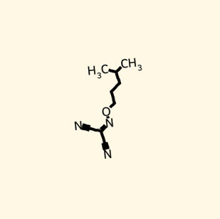 CC(C)CCCON=C(C#N)C#N